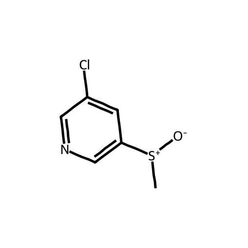 C[S+]([O-])c1cncc(Cl)c1